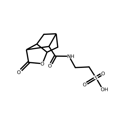 O=C(NCCS(=O)(=O)O)C1C2CC3OC(=O)C1C3C2